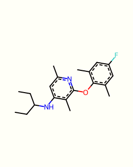 CCC(CC)Nc1cc(C)nc(Oc2c(C)cc(F)cc2C)c1C